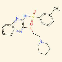 Cc1cccc(S(=O)(=O)Nc2nc3ccccc3nc2OCCN2CCCCC2)c1